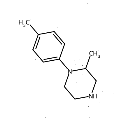 Cc1ccc(N2CCNCC2C)cc1